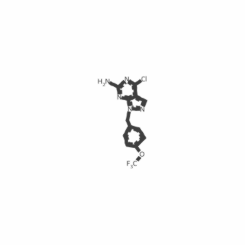 Nc1nc(Cl)c2cnn(Cc3ccc(OC(F)(F)F)cc3)c2n1